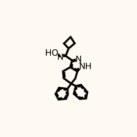 ON=C(c1n[nH]c2c1C=CC(c1ccccc1)(c1ccccc1)C2)C1CCC1